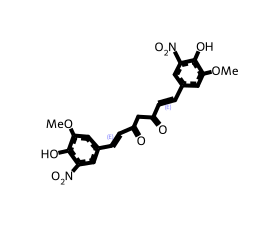 COc1cc(/C=C/C(=O)CC(=O)/C=C/c2cc(OC)c(O)c([N+](=O)[O-])c2)cc([N+](=O)[O-])c1O